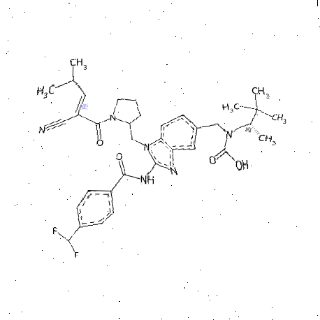 CC(C)/C=C(\C#N)C(=O)N1CCCC1Cn1c(NC(=O)c2ccc(C(F)F)cc2)nc2cc(CN(C(=O)O)[C@@H](C)C(C)(C)C)ccc21